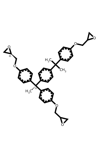 CC(C)(c1ccc(OCC2CO2)cc1)c1ccc([C@@](C)(c2ccc(OCC3CO3)cc2)c2ccc(OC[C@H]3CO3)cc2)cc1